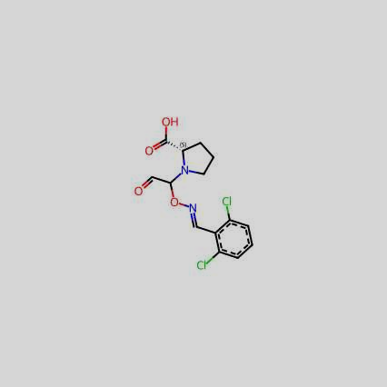 O=CC(ON=Cc1c(Cl)cccc1Cl)N1CCC[C@H]1C(=O)O